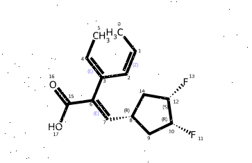 C\C=C/C(=C\C)C(=C\[C@H]1C[C@@H](F)[C@@H](F)C1)/C(=O)O